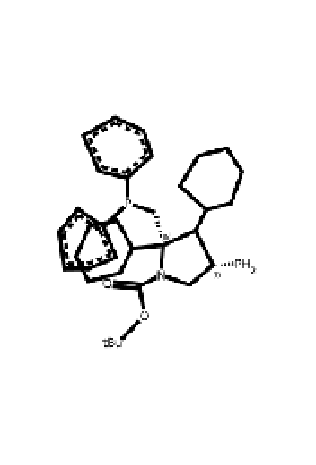 CC(C)(C)OC(=O)N1C[C@@H](P)C(C2CCCCC2)[C@]1(CP(c1ccccc1)c1ccccc1)C1CCCCC1